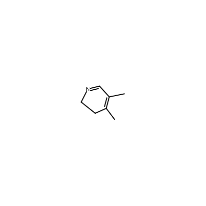 CC1=C(C)CCN=C1